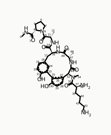 CNC(=O)[C@@H]1CCCN1C(=O)[C@H](C)NC(=O)[C@@H]1Cc2ccc(O)c(c2)-c2cc(ccc2O)[C@H](N(C)C(=O)[C@@H](N)CCCCN)C(=O)N[C@@H](C)C(=O)N1